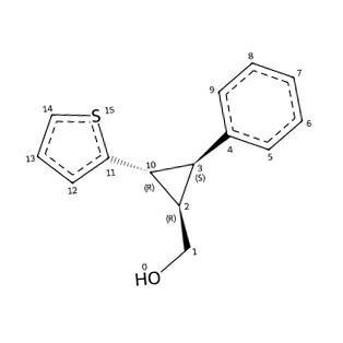 OC[C@@H]1[C@H](c2ccccc2)[C@H]1c1cccs1